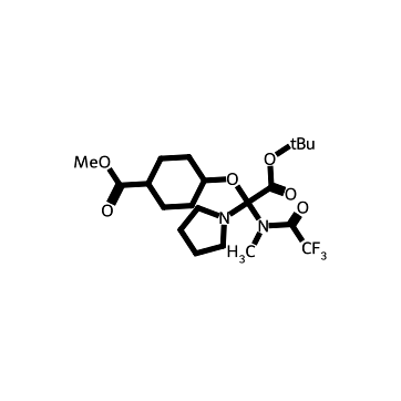 COC(=O)C1CCC(OC(C(=O)OC(C)(C)C)(N2CCCC2)N(C)C(=O)C(F)(F)F)CC1